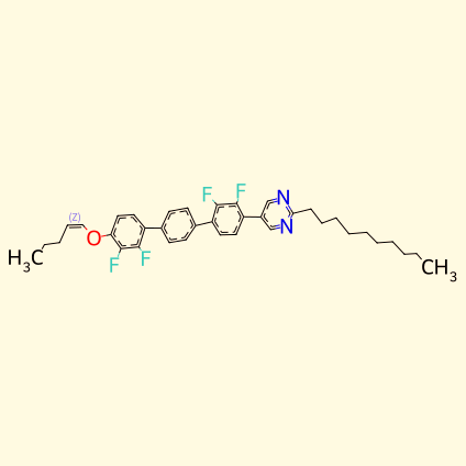 CCC/C=C\Oc1ccc(-c2ccc(-c3ccc(-c4cnc(CCCCCCCCCC)nc4)c(F)c3F)cc2)c(F)c1F